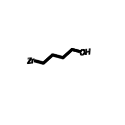 OCCC[CH2][Zr]